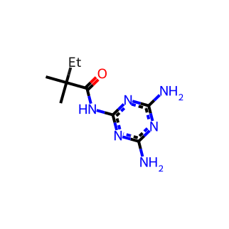 CCC(C)(C)C(=O)Nc1nc(N)nc(N)n1